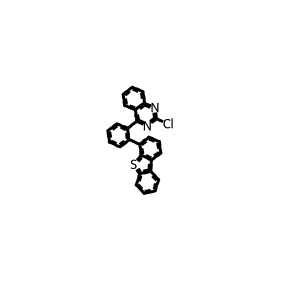 Clc1nc(-c2ccccc2-c2cccc3c2sc2ccccc23)c2ccccc2n1